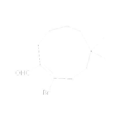 CC1(C)CCCC/C(C=O)=C(/Br)CC1